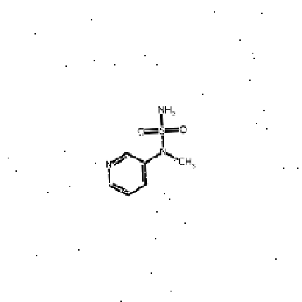 CN(c1cccnc1)S(N)(=O)=O